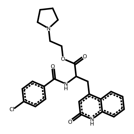 O=C(NC(Cc1cc(=O)[nH]c2ccccc12)C(=O)OCCN1CCCC1)c1ccc(Cl)cc1